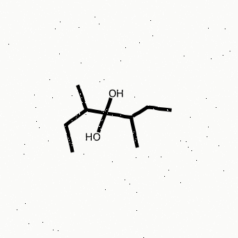 CCC(C)C(O)(O)C(C)CC